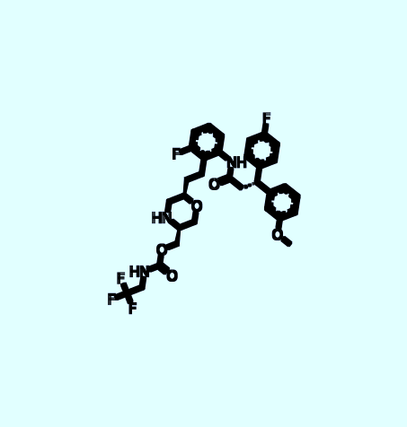 COc1cccc([C@H](CC(=O)Nc2cccc(F)c2CC[C@@H]2CN[C@H](COC(=O)NCC(F)(F)F)CO2)c2ccc(F)cc2)c1